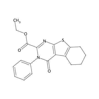 CCOC(=O)c1nc2sc3c(c2c(=O)n1-c1ccccc1)CCCC3